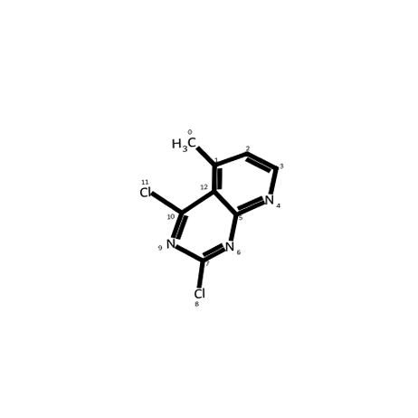 Cc1ccnc2nc(Cl)nc(Cl)c12